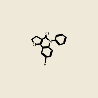 O=c1c2c(c3cc(F)ccc3n1-c1ccccc1)OCC2